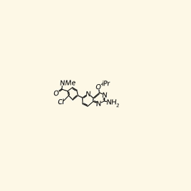 CNC(=O)c1ccc(-c2ccc3nc(N)nc(OC(C)C)c3n2)cc1Cl